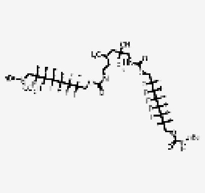 CCCCNC(=O)OCC(F)(F)C(F)(F)C(F)(F)C(F)(F)C(F)(F)C(F)(F)COC(=O)NCC(C)(C)CC(C)CCNC(=O)OCC(F)(F)C(F)(F)C(F)(F)C(F)(F)C(F)(F)C(F)(F)CN(CCCC)C(=O)O